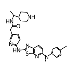 Cc1ccc(N(C)c2ccc3nc(Nc4ccc(CC(=O)NC(C)C5CCNCC5)cn4)sc3n2)cc1